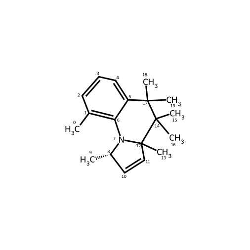 Cc1cccc2c1N1[C@@H](C)C=CC1(C)C(C)(C)C2(C)C